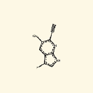 C#Cc1nc2[nH]cc(F)c2cc1C(C)(C)C